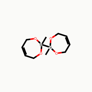 C[Si]1([Si]2(C)OCC=CCO2)OCC=CCO1